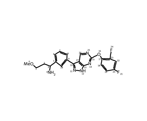 COCCC(N)c1cccc(-c2n[nH]c3nc(Oc4ccc(F)cc4F)ncc23)c1